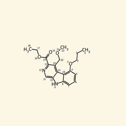 CCCOc1cccc2[nH]c3cnc(C(=O)OCC)c(COC)c3c12